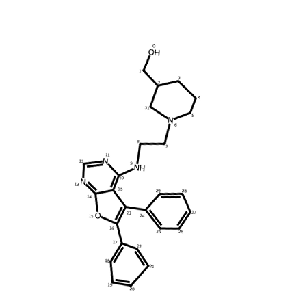 OCC1CCCN(CCNc2ncnc3oc(-c4ccccc4)c(-c4ccccc4)c23)C1